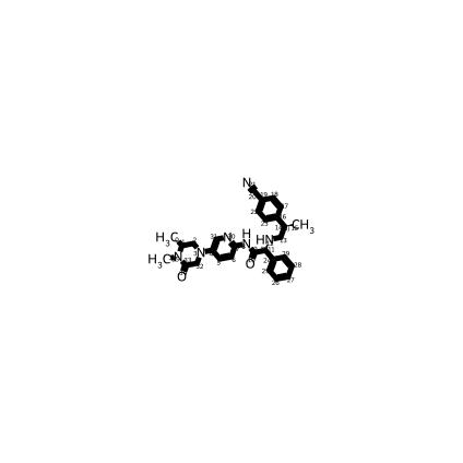 CC1CN(c2ccc(NC(=O)[C@H](NC[C@@H](C)c3ccc(C#N)cc3)c3ccccc3)nc2)CC(=O)N1C